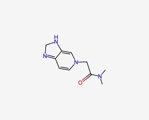 CN(C)C(=O)CN1C=CC2=NCNC2=C1